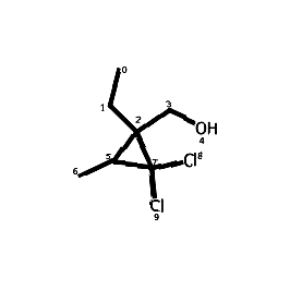 CCC1(CO)C(C)C1(Cl)Cl